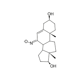 C[C@]12CC[C@H](O)CC1=CC(=N[O])C1C2CC[C@@]2(C)C1CC[C@@H]2O